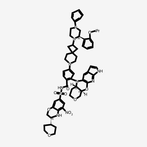 CC(C)Oc1ccccc1[C@@H]1CN(c2ccccc2)CCN1C1CC2(CCN(c3ccc(C(=O)NS(=O)(=O)c4cc5c(c([N+](=O)[O-])c4)N[C@H](C4CCOCC4)CO5)c(N4c5cc6cc[nH]c6nc5O[C@H]5COCC[C@@H]54)c3)CC2)C1